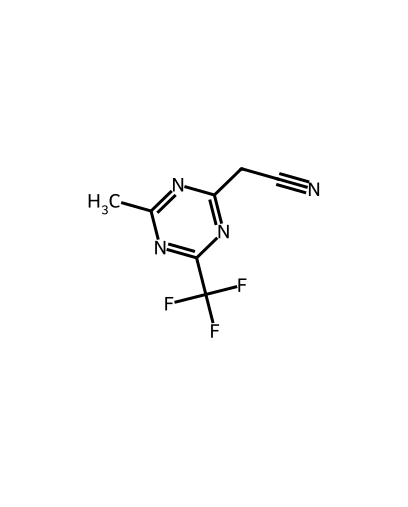 Cc1nc(CC#N)nc(C(F)(F)F)n1